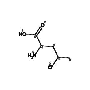 CC(Cl)CC(N)C(=O)O